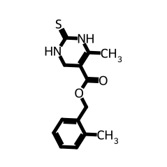 CC1=C(C(=O)OCc2ccccc2C)CNC(=S)N1